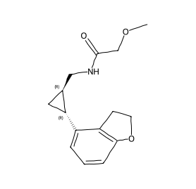 COCC(=O)NC[C@@H]1C[C@H]1c1cccc2c1CCO2